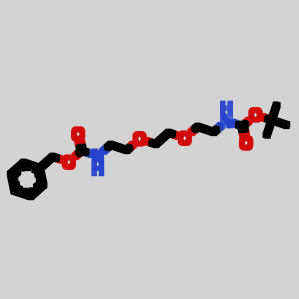 CC(C)(C)OC(=O)NCCOCCOCCNC(=O)OCc1ccccc1